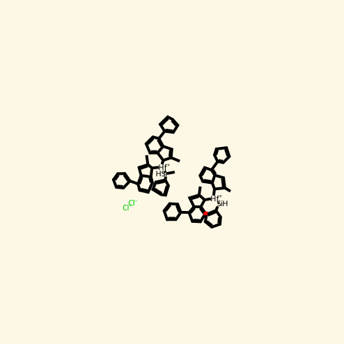 CC1=Cc2c(-c3ccccc3)cccc2[CH]1[Hf+]([CH]1C(C)=Cc2c(-c3ccccc3)cccc21)[SiH](C)c1ccccc1.CC1=Cc2c(-c3ccccc3)cccc2[CH]1[Hf+]([CH]1C(C)=Cc2c(-c3ccccc3)cccc21)[SiH](C)c1ccccc1.[Cl-].[Cl-]